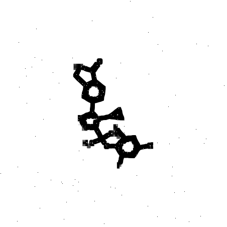 CC(C)(Oc1c(F)cc(Cl)cc1F)c1nnc(-c2ccc3c(c2)CNC3=O)n1C1CC1